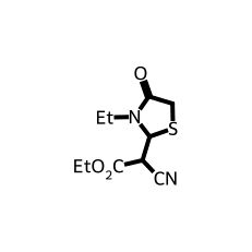 CCOC(=O)C(C#N)C1SCC(=O)N1CC